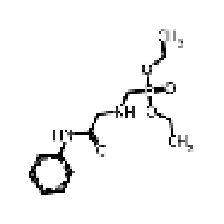 CCOP(=O)(CNCC(=O)Nc1ccccc1)OCC